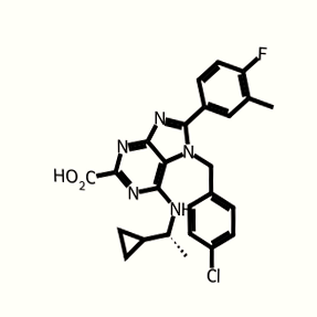 Cc1cc(-c2nc3nc(C(=O)O)nc(N[C@H](C)C4CC4)c3n2Cc2ccc(Cl)cc2)ccc1F